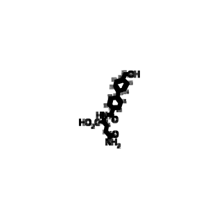 NC(=O)CC[C@H](NC(=O)c1ccc(-c2ccc(CO)cc2)cc1)C(=O)O